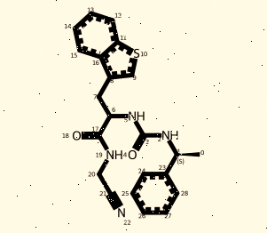 C[C@H](NC(=O)NC(Cc1csc2ccccc12)C(=O)NCC#N)c1ccccc1